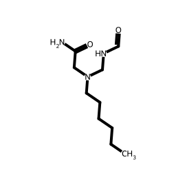 CCCCCCN(CNC=O)CC(N)=O